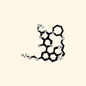 C=CCCCOC1CCCCN(c2nc(SC)nc3c(F)c(-c4cc(OCOC)cc5ccc(F)c(C=C)c45)ncc23)C1